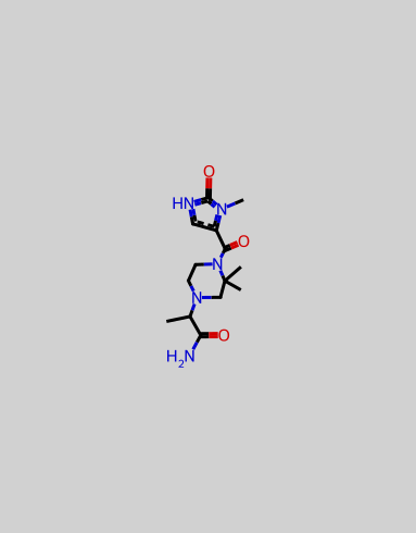 CC(C(N)=O)N1CCN(C(=O)c2c[nH]c(=O)n2C)C(C)(C)C1